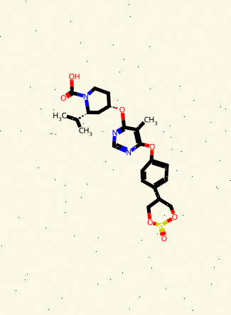 Cc1c(Oc2ccc(C3COS(=O)OC3)cc2)ncnc1O[C@H]1CCN(C(=O)O)[C@@H](C(C)C)C1